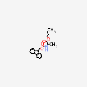 CCCCOC(=O)[C@H](C)NC(=O)OCC1c2ccccc2-c2ccccc21